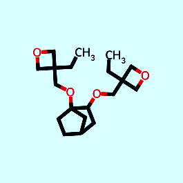 CCC1(COC2CC3CCC2(OCC2(CC)COC2)C3)COC1